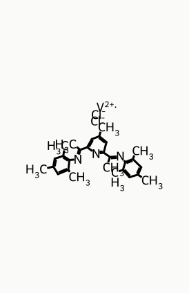 CC(=Nc1c(C)cc(C)cc1C)c1cc(C)cc(C(C)=Nc2c(C)cc(C)cc2C)n1.[Cl-].[Cl-].[V+2]